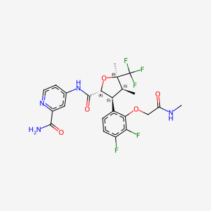 CNC(=O)COc1c([C@H]2[C@H](C(=O)Nc3ccnc(C(N)=O)c3)O[C@@](C)(C(F)(F)F)[C@H]2C)ccc(F)c1F